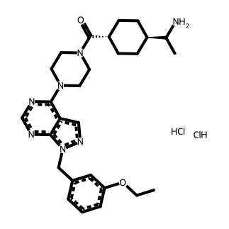 CCOc1cccc(Cn2ncc3c(N4CCN(C(=O)[C@H]5CC[C@H](C(C)N)CC5)CC4)ncnc32)c1.Cl.Cl